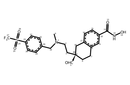 CN(CC[C@@]1(C=O)CCc2cc(C(=O)NO)ccc2C1)Cc1ccc(S(=O)(=O)C(F)(F)F)cc1